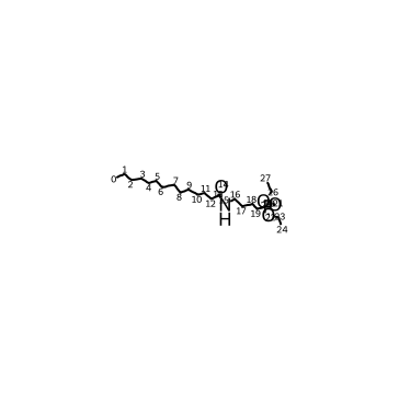 CCCCCCCCCCCCCC(=O)NCCCCP(=O)(OCC)OCC